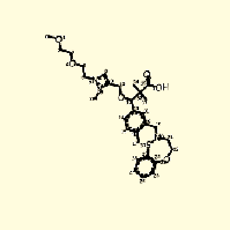 COCCOCCn1cc(COC(c2ccc(C)c(CN3CCOc4ccccc4S3)c2)C(C)(C)C(=O)O)n1C